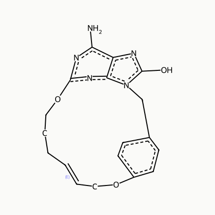 Nc1nc2nc3c1nc(O)n3Cc1ccc(cc1)OC/C=C/CCCO2